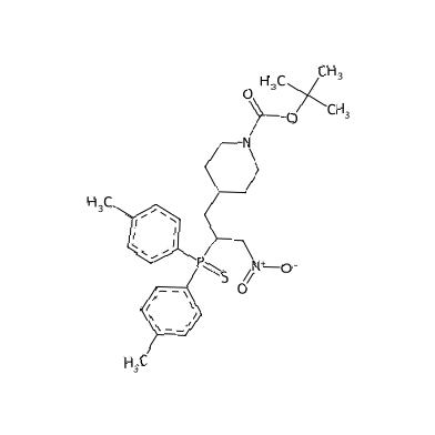 Cc1ccc(P(=S)(c2ccc(C)cc2)C(CC2CCN(C(=O)OC(C)(C)C)CC2)C[N+](=O)[O-])cc1